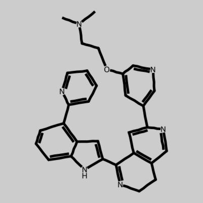 CN(C)CCOc1cncc(-c2cc3c(cn2)CCN=C3c2cc3c(-c4ccccn4)cccc3[nH]2)c1